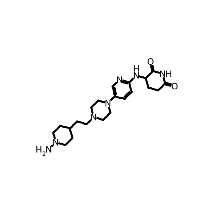 NN1CCC(CCN2CCN(c3ccc(NC4CCC(=O)NC4=O)nc3)CC2)CC1